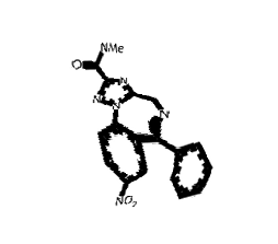 CNC(=O)c1nc2n(n1)-c1ccc([N+](=O)[O-])cc1C(c1ccccc1)=NC2